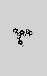 C[C@@H](Oc1ccc2c(c1)c(/C=C(\F)c1ccc(Br)nc1)nn2C1CCCCO1)c1c(Cl)cncc1Cl